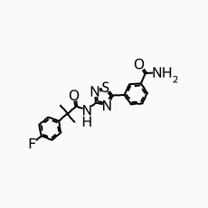 CC(C)(C(=O)Nc1nsc(-c2cccc(C(N)=O)c2)n1)c1ccc(F)cc1